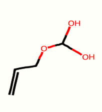 C=CCO[C](O)O